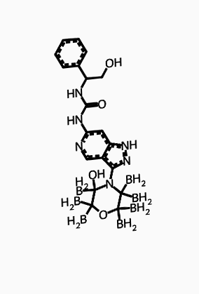 BC1(B)OC(B)(B)C(B)(O)N(c2n[nH]c3cc(NC(=O)NC(CO)c4ccccc4)ncc23)C1(B)B